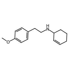 COc1ccc(CCNC2C=CCCC2)cc1